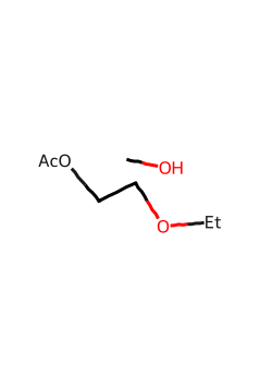 CCOCCOC(C)=O.CO